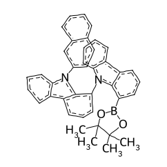 CC1(C)OB(c2cccc3c4ccccc4n(-c4cccc5c6ccccc6n(-c6ccc7ccccc7c6)c45)c23)OC1(C)C